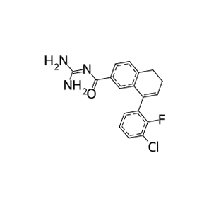 NC(N)=NC(=O)c1ccc2c(c1)C(c1cccc(Cl)c1F)=CCC2